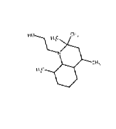 CC1CC(C)(C)N(CCO)C2C(C)CCCC12